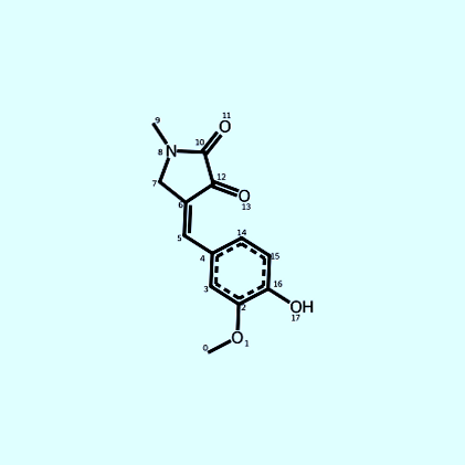 COc1cc(/C=C2/CN(C)C(=O)C2=O)ccc1O